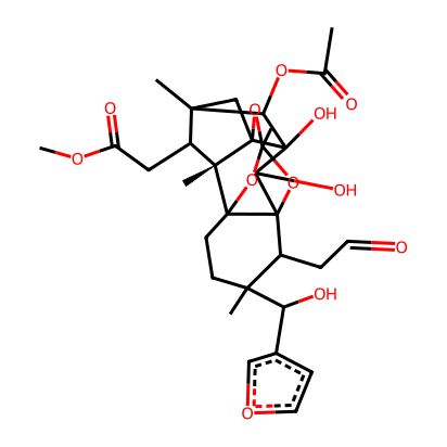 COC(=O)CC1C2(C)CC34OC5(C)OC6(C(CC=O)C(C)(C(O)c7ccoc7)CCC6(O5)[C@]13C)C(O)C4(O)C2OC(C)=O